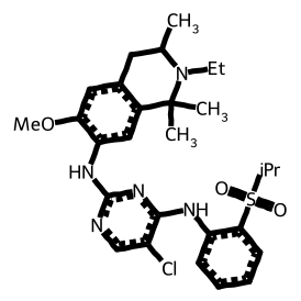 CCN1C(C)Cc2cc(OC)c(Nc3ncc(Cl)c(Nc4ccccc4S(=O)(=O)C(C)C)n3)cc2C1(C)C